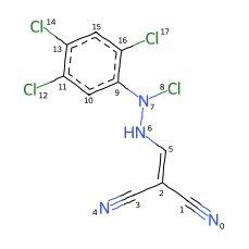 N#CC(C#N)=CNN(Cl)c1cc(Cl)c(Cl)cc1Cl